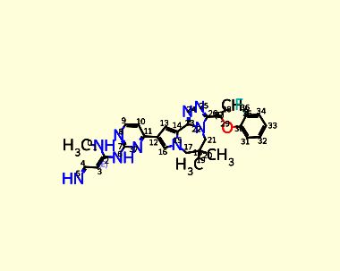 CN/C(=C\C=N)Nc1nccc(-c2cc3n(c2)CC(C)(C)Cn2c-3nnc2[C@H](C)Oc2ccccc2F)n1